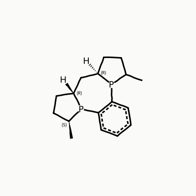 CC1CC[C@@H]2C[C@H]3CC[C@H](C)P3c3ccccc3P12